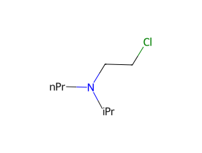 C[CH]CN(CCCl)C(C)C